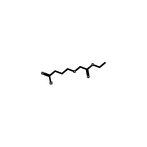 CCOC(=O)COCCCC(=O)Cl